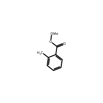 COOC(=O)c1ccccc1C